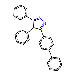 c1ccc(C2=NN=C(c3ccc(-c4ccccc4)cc3)C2c2ccccc2)cc1